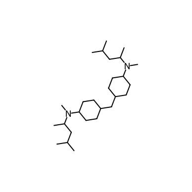 CC(C)CC(C)N(C)C1CCC(CC2CCC(N(C)C(C)CC(C)C)CC2)CC1